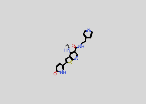 CC(C)Nc1c(C(=O)NCCc2ccncc2)cnc2sc(-c3ccc(=O)[nH]c3)cc12